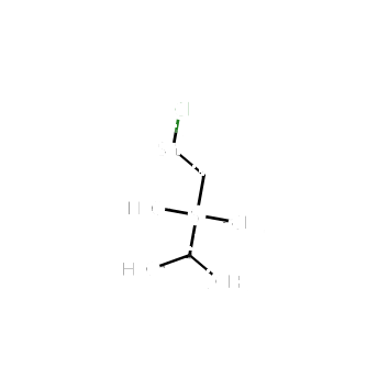 CC(C)[Si](C)(C)[CH2][Sn][Cl]